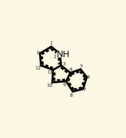 c1c[nH]c2c3ccccc3cc-2c1